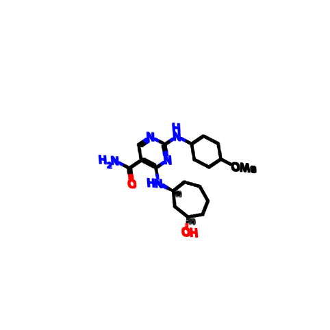 COC1CCC(Nc2ncc(C(N)=O)c(N[C@H]3CCCC[C@H](O)C3)n2)CC1